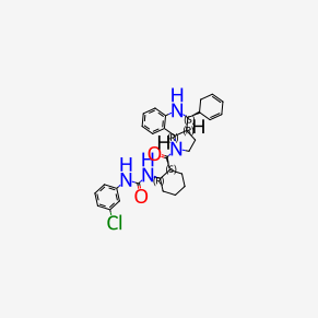 O=C(Nc1cccc(Cl)c1)N[C@@H]1CCCC[C@@H]1C(=O)N1CC[C@@H]2[C@H](C3C=CC=CC3)Nc3ccccc3[C@@H]21